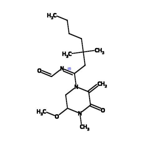 C=C1C(=O)N(C)C(OC)CN1/C(CC(C)(C)CCCC)=N\C=O